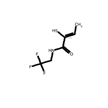 C/C=C(\S)C(=O)NCC(F)(F)F